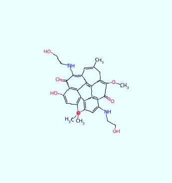 COc1c2c3c4c(c(NCCO)c(=O)c5c(O)cc(OC)c(c6c(OC)cc(NCCO)c(c1=O)c63)c54)C=C(C)C2